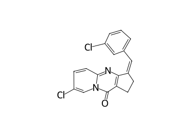 O=c1c2c(nc3ccc(Cl)cn13)/C(=C\c1cccc(Cl)c1)CC2